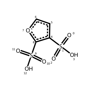 O=S(=O)(O)c1ccoc1S(=O)(=O)O